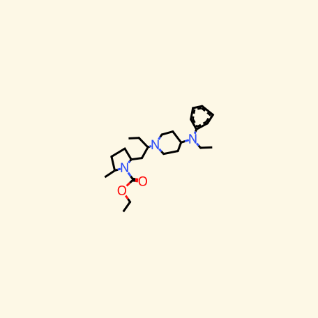 CCOC(=O)N1C(C)CCC1CC(CC)N1CCC(N(CC)c2ccccc2)CC1